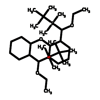 CCOC(C1CCCCC1OC1CCCCC1C(OCC)[Si](C)(C)C(C)(C)C)[Si](C)(C)C(C)(C)C